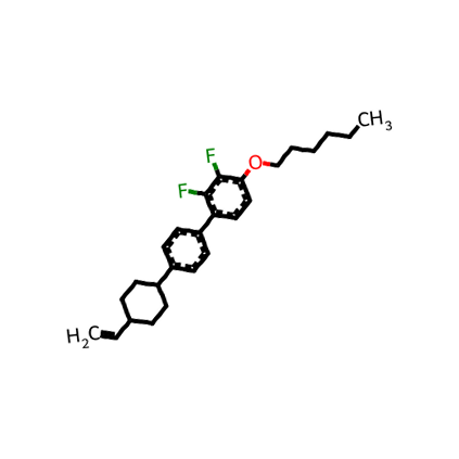 C=CC1CCC(c2ccc(-c3ccc(OCCCCCC)c(F)c3F)cc2)CC1